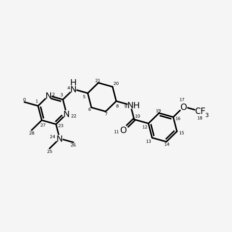 Cc1nc(NC2CCC(NC(=O)c3cccc(OC(F)(F)F)c3)CC2)nc(N(C)C)c1C